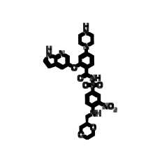 O=C(NS(=O)(=O)c1ccc(NC[C@@H]2COCCO2)c([N+](=O)[O-])c1)c1ccc(N2CCNCC2)cc1Oc1cnc2[nH]ccc2c1